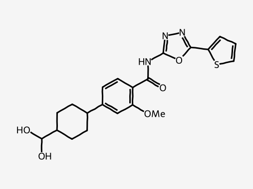 COc1cc(C2CCC(C(O)O)CC2)ccc1C(=O)Nc1nnc(-c2cccs2)o1